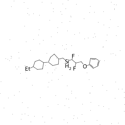 CCC1CCC(C2CCC(C[SiH2]C(F)C(F)COc3ccccc3)CC2)CC1